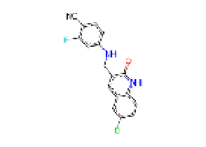 N#Cc1ccc(NCc2cc3cc(Cl)ccc3[nH]c2=O)cc1F